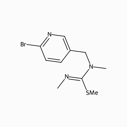 CN=C(SC)N(C)Cc1ccc(Br)nc1